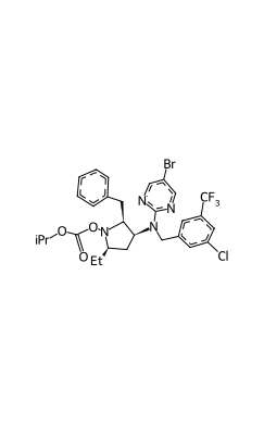 CC[C@@H]1C[C@H](N(Cc2cc(Cl)cc(C(F)(F)F)c2)c2ncc(Br)cn2)[C@H](Cc2ccccc2)N1OC(=O)OC(C)C